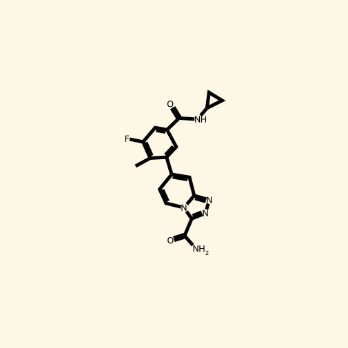 Cc1c(F)cc(C(=O)NC2CC2)cc1-c1ccn2c(C(N)=O)nnc2c1